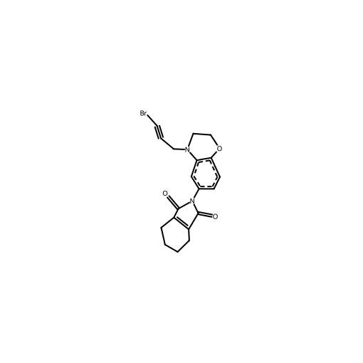 O=C1C2=C(CCCC2)C(=O)N1c1ccc2c(c1)N(CC#CBr)CCO2